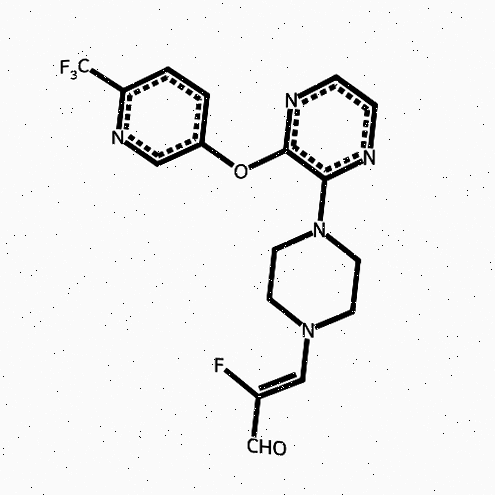 O=CC(F)=CN1CCN(c2nccnc2Oc2ccc(C(F)(F)F)nc2)CC1